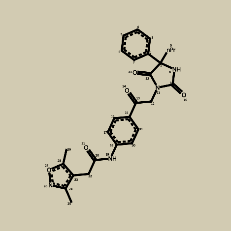 CCCC1(c2ccccc2)NC(=O)N(CC(=O)c2ccc(NC(=O)Cc3c(C)noc3C)cc2)C1=O